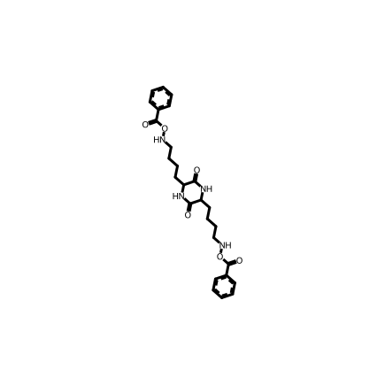 O=C(ONCCCCC1NC(=O)C(CCCCNOC(=O)c2ccccc2)NC1=O)c1ccccc1